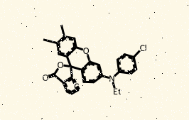 CCN(c1ccc(Cl)cc1)c1ccc2c(c1)Oc1cc(C)c(C)cc1C21OC(=O)c2ccccc21